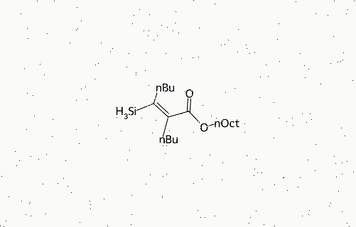 CCCCCCCCOC(=O)/C(CCCC)=C(/[SiH3])CCCC